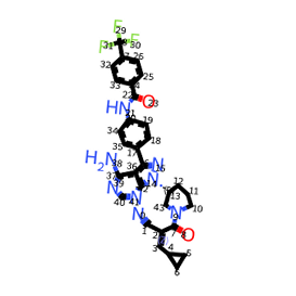 N#C/C(=C/C1CC1)C(=O)N1CCC[C@@H](n2nc(-c3ccc(NC(=O)c4ccc(C(F)(F)F)cc4)cc3)c3c(N)ncnc32)C1